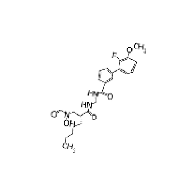 CCCCC[C@H](CN(O)C=O)C(=O)NCNC(=O)c1cccc(-c2cccc(OC)c2F)c1